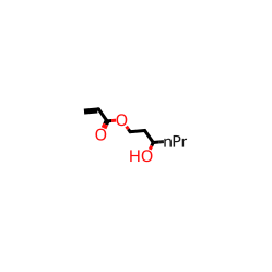 [CH2]CCC(O)CCOC(=O)C=C